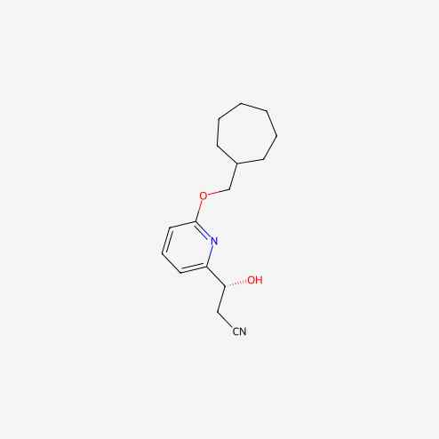 N#CC[C@@H](O)c1cccc(OCC2CCCCCC2)n1